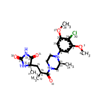 COc1cc(N2CCN(C(=O)[C@@H](C)C[C@@]3(C)NC(=O)NC3=O)C[C@@H]2C)cc(OC)c1Cl